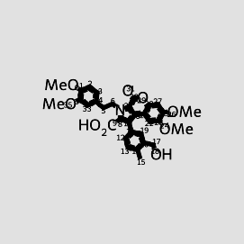 COc1ccc(CCn2c(C(=O)O)c(-c3ccc(C)c(CO)c3)c3c4cc(OC)c(OC)cc4oc(=O)c32)cc1OC